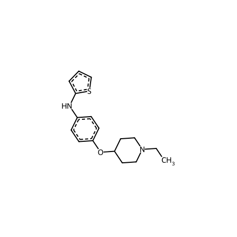 CCN1CCC(Oc2ccc(Nc3cccs3)cc2)CC1